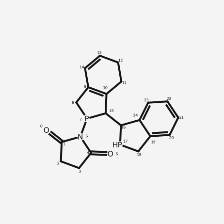 O=C1CCC(=O)N1P1CC2=C(CCC=C2)C1C1PCc2ccccc21